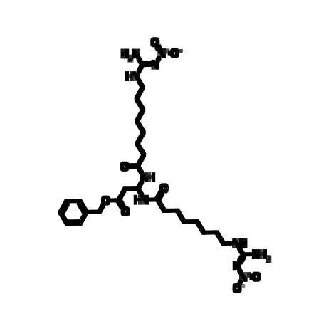 NC(=N[N+](=O)[O-])NCCCCCCCC(=O)NC(CC(=O)OCc1ccccc1)NC(=O)CCCCCCCNC(N)=N[N+](=O)[O-]